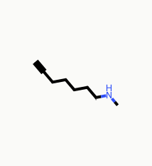 C#CCCCC[CH]NC